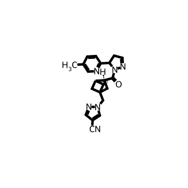 Cc1ccc(C2CC=NN2C(=O)[C@H]2CC3(Cn4cc(C#N)cn4)CC2C3)nc1